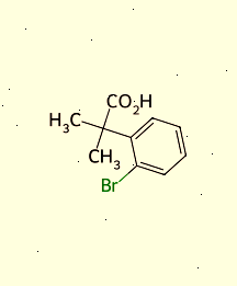 CC(C)(C(=O)O)c1ccccc1Br